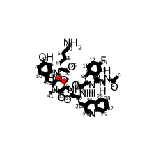 CC(=O)NNC(=O)N[C@@H](Cc1ccc(F)cc1)C(=O)N[C@@H](Cc1cnc2ccccc2c1)C(=O)N[C@@H](CO)C(=O)N(C)[C@@H](Cc1ccc(O)cc1)C(=O)N[C@@H]([C]=O)CCCCN